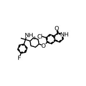 CC(N)(c1ccc(F)cc1)C1CCC(Oc2cc3cc[nH]c(=O)c3cc2Cl)CC1